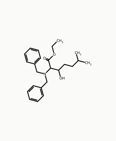 CCOC(=O)C(C(O)CCC(C)C)N(Cc1ccccc1)Cc1ccccc1